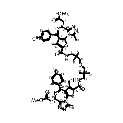 COC(=O)C[C@@H]1N=C(c2ccc(Cl)cc2)c2c(sc(C(=O)NCC(C)(C)COCC(C)(C)CNC(=O)c3sc4c(c3C)C(c3ccc(Cl)cc3)=N[C@@H](CC(=O)OC)c3nnc(C)n3-4)c2C)-n2c(C)nnc21